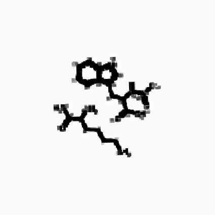 NCCCCC(N)C(N)=O.O=C(O)C(Cc1c[nH]c2ccccc12)N[N+](=O)[O-]